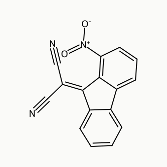 N#CC(C#N)=C1c2ccccc2-c2cccc([N+](=O)[O-])c21